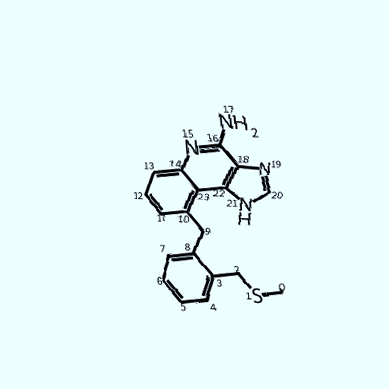 CSCc1ccccc1Cc1cccc2nc(N)c3nc[nH]c3c12